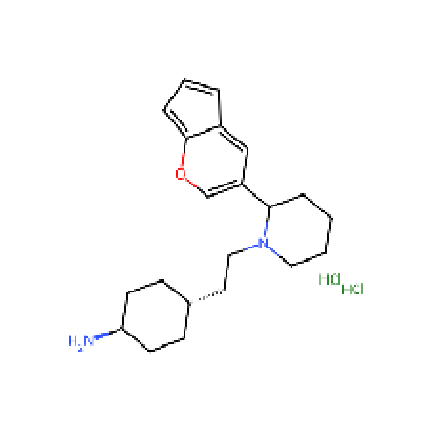 Cl.Cl.N[C@H]1CC[C@H](CCN2CCCCC2c2coc3cccc-3c2)CC1